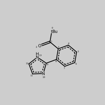 CC(C)(C)C(=O)c1ccccc1-c1ncc[nH]1